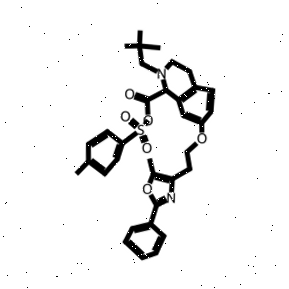 Cc1ccc(S(=O)(=O)OC(=O)C2c3cc(OCCc4nc(-c5ccccc5)oc4C)ccc3CCN2CC(C)(C)C)cc1